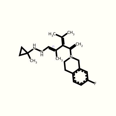 C=C(C(=C(C)C)/C(C)=C/NNC1(C)CC1)N1CCc2ccc(F)cc2C1